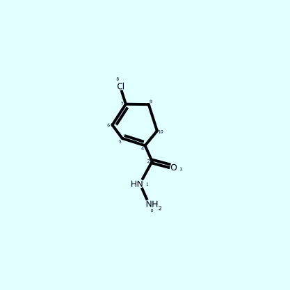 NNC(=O)C1=CC=C(Cl)CC1